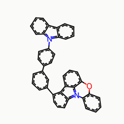 c1cc(-c2ccc(-n3c4ccccc4c4ccccc43)cc2)cc(-c2cccc3c2c2cccc4c2n3-c2ccccc2O4)c1